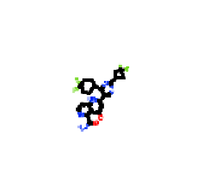 NC(=O)c1nccc2[nH]c(-c3cnc(C4CC(F)(F)C4)nc3C3CCC(F)(F)CC3)cc(=O)c12